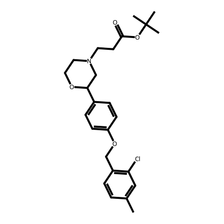 Cc1ccc(COc2ccc(C3CN(CCC(=O)OC(C)(C)C)CCO3)cc2)c(Cl)c1